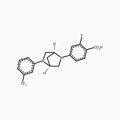 O=C(O)c1ccc(N2C[C@@H]3C[C@H]2CN3c2cccc(C(F)(F)F)c2)cc1F